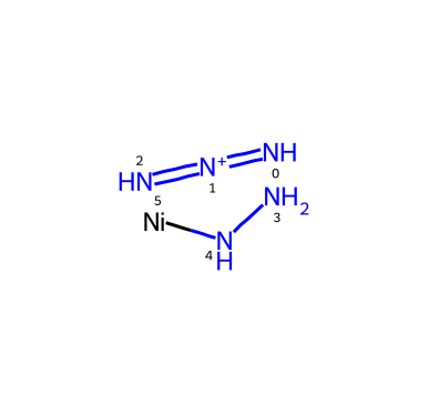 N=[N+]=N.N[NH][Ni]